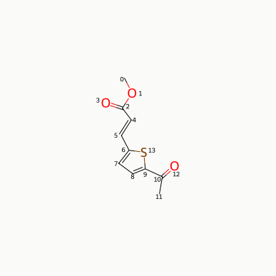 COC(=O)/C=C/c1ccc(C(C)=O)s1